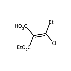 CCOC(=O)/C(C(=O)O)=C(\Cl)CC